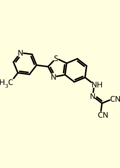 Cc1cncc(-c2nc3cc(NN=C(C#N)C#N)ccc3s2)c1